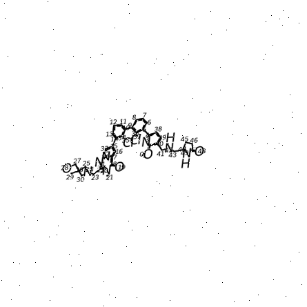 COc1nc(-c2cccc(-c3cccc(-c4cc5c(=O)n(C)c(CN6CC7(COC7)C6)nn5c4)c3Cl)c2Cl)ccc1CNCC1CCC(=O)N1